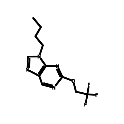 CCCCn1cnc2cnc(OCC(F)(F)F)nc21